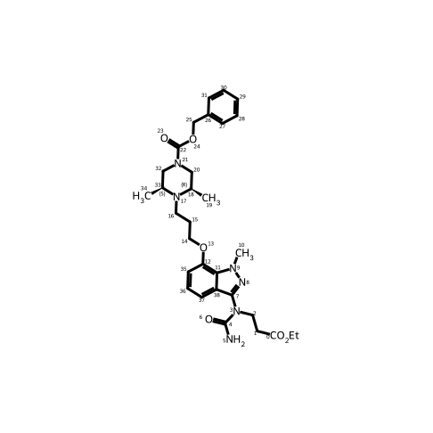 CCOC(=O)CCN(C(N)=O)c1nn(C)c2c(OCCCN3[C@H](C)CN(C(=O)OCc4ccccc4)C[C@@H]3C)cccc12